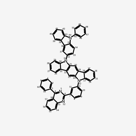 c1ccc(-c2nc(-c3cccc(-n4c5ccccc5c5cc6c(cc54)c4ccccc4n6-c4ccc5c(c4)c4ccccc4n5-c4ccccc4)c3)nc3ccccc23)cc1